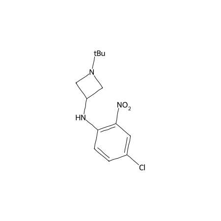 CC(C)(C)N1CC(Nc2ccc(Cl)cc2[N+](=O)[O-])C1